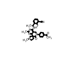 CC(=O)c1ccc(N2Cc3c(N[C@H](C)c4cccc(C#N)c4F)nc(C)nc3C3(CCN(C)C3)C2=O)cc1